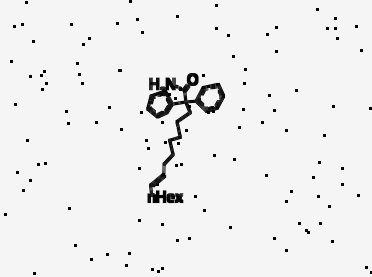 CCCCCCC=CCCCCCCC(C(N)=O)(c1ccccc1)c1ccccc1